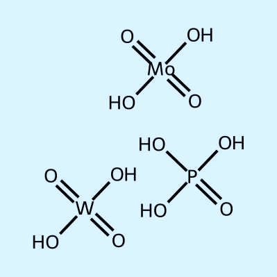 O=P(O)(O)O.[O]=[Mo](=[O])([OH])[OH].[O]=[W](=[O])([OH])[OH]